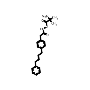 CNC(C)(C)C(=O)ONC(=O)Cc1ccc(CCCCc2ccccc2)cc1